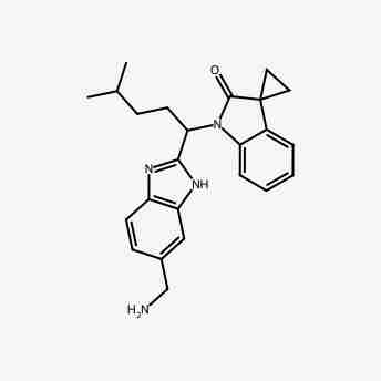 CC(C)CCC(c1nc2ccc(CN)cc2[nH]1)N1C(=O)C2(CC2)c2ccccc21